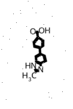 Cc1nc2ccc(-c3ccc(C(=O)O)cc3)cc2[nH]1